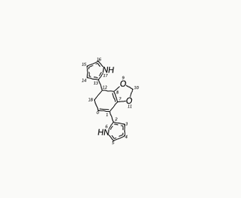 C1=C(c2ccc[nH]2)C2=C(OCO2)C(c2ccc[nH]2)C1